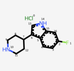 Cl.Fc1ccc2c(C3CCNCC3)c[nH]c2c1